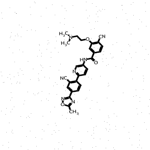 Cc1nc(-c2ccc(-c3ccc(NC(=O)c4ccc(C#N)c(OCCN(C)C)c4)cn3)c(C#N)c2)no1